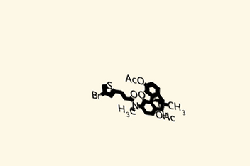 CC(=O)Oc1ccc2c3c1OC1C(N(C)C(=O)/C=C/c4cc(Br)cs4)CC[C@@]4(OC(C)=O)[C@@H](C2)N(C)CC[C@]314